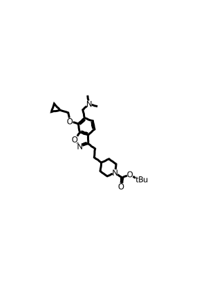 CN(C)Cc1ccc2c(CCC3CCN(C(=O)OC(C)(C)C)CC3)noc2c1OCC1CC1